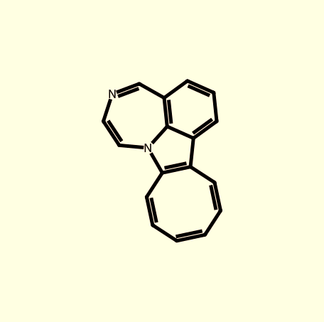 C1=CC=Cc2c(c3cccc4c3n2C=CN=C4)C=C1